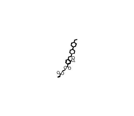 C=CC(=O)OCCOC(=O)c1ccc(CC(=O)C2CCC(C3CCC(CC)CC3)CC2)c(OC)c1